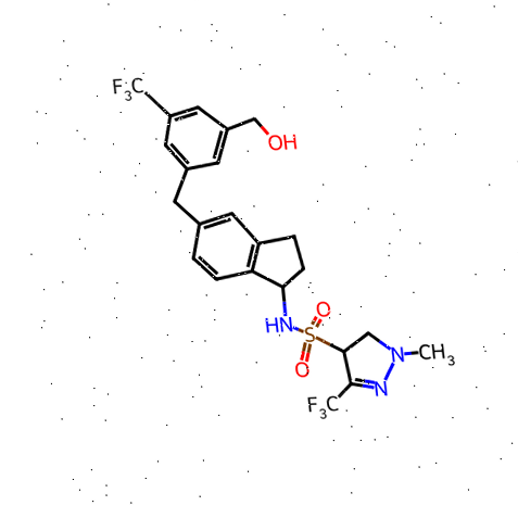 CN1CC(S(=O)(=O)NC2CCc3cc(Cc4cc(CO)cc(C(F)(F)F)c4)ccc32)C(C(F)(F)F)=N1